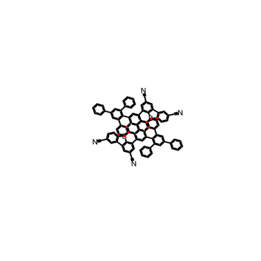 N#Cc1ccc2c(c1)-c1cc(C#N)cc3c1B2c1cc2c(-c4c(-c5ccccc5)cc(-c5ccccc5)cc4-c4ccccc4)cc4c5c(cc6c(-c7c(-c8ccccc8)cc(-c8ccccc8)cc7-c7ccccc7)cc-3c1c6c25)B1c2ccc(C#N)cc2-c2cc(C#N)cc-4c21